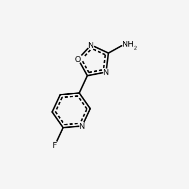 Nc1noc(-c2ccc(F)nc2)n1